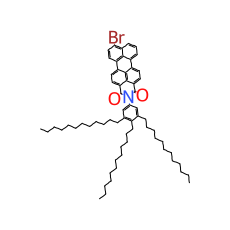 CCCCCCCCCCCCc1cc(N2C(=O)c3ccc4c5cccc6c(Br)ccc(c7ccc(c3c47)C2=O)c65)cc(CCCCCCCCCCCC)c1CCCCCCCCCCCC